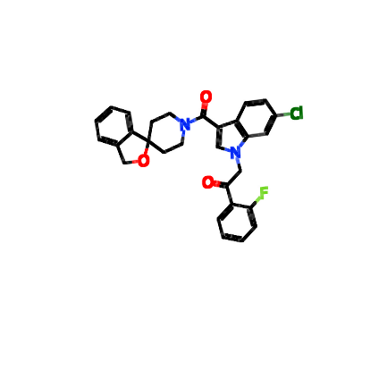 O=C(Cn1cc(C(=O)N2CCC3(CC2)OCc2ccccc23)c2ccc(Cl)cc21)c1ccccc1F